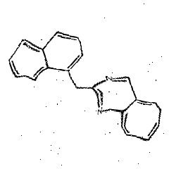 c1ccc2nc(Cc3cccc4ccccc34)ncc2c1